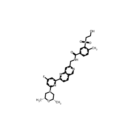 Cc1ccc(C(=O)NCc2cc3nc(-c4cc(F)cc(N5C[C@@H](C)O[C@@H](C)C5)n4)ccc3cn2)cc1S(=O)(=O)CCO